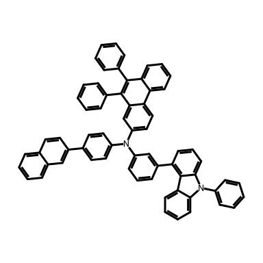 c1ccc(-c2c(-c3ccccc3)c3cc(N(c4ccc(-c5ccc6ccccc6c5)cc4)c4cccc(-c5cccc6c5c5ccccc5n6-c5ccccc5)c4)ccc3c3ccccc23)cc1